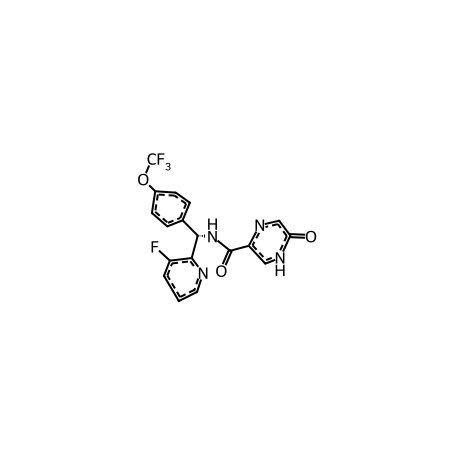 O=C(N[C@@H](c1ccc(OC(F)(F)F)cc1)c1ncccc1F)c1c[nH]c(=O)cn1